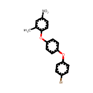 Cc1cc([N+](=O)[O-])ccc1Oc1ccc(Oc2ccc(Br)cc2)cc1